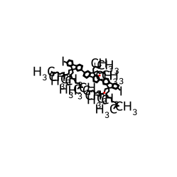 CC[C@H](C)CC1(C[C@@H](C)CC)c2cc(-c3ccc4c(c3)C(CC[C@@H](C)CCCC(C)C)(CC[C@@H](C)CCCC(C)C)c3cc(I)ccc3-4)ccc2-c2ccc(-c3ccc4c(c3)C(CC[C@@H](C)CCCC(C)C)(CC[C@@H](C)CCCC(C)C)c3cc(I)ccc3-4)cc21